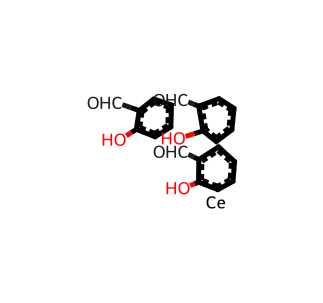 O=Cc1ccccc1O.O=Cc1ccccc1O.O=Cc1ccccc1O.[Ce]